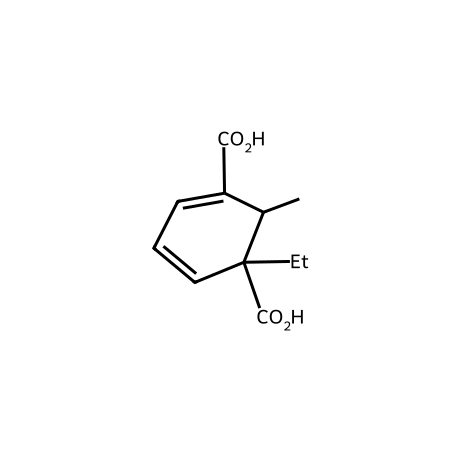 CCC1(C(=O)O)C=CC=C(C(=O)O)C1C